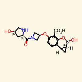 O=C(O)c1c(OC2CN(C(=O)[C@H]3C[C@@H](O)CN3)C2)ccc2c1OB(O)[C@H]1C[C@@H]21